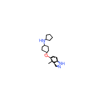 Cc1c(OC2CCC(NC3CCCC3)CC2)ccc2[nH]ncc12